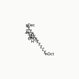 CCCCCCCCC=CCCCCCCCCOCC(COCCCCCCCCCCCCCCCC)NC(=O)OCCN(C)C